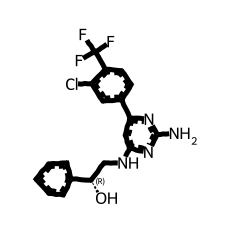 Nc1nc(NC[C@H](O)c2ccccc2)cc(-c2ccc(C(F)(F)F)c(Cl)c2)n1